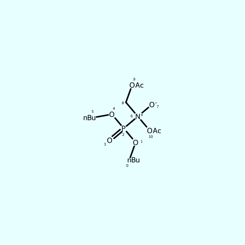 CCCCOP(=O)(OCCCC)[N+]([O-])(COC(C)=O)OC(C)=O